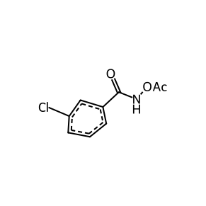 CC(=O)ONC(=O)c1cccc(Cl)c1